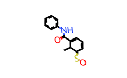 CC1C(C(=O)Nc2ccccc2)=CC=CC1=S=O